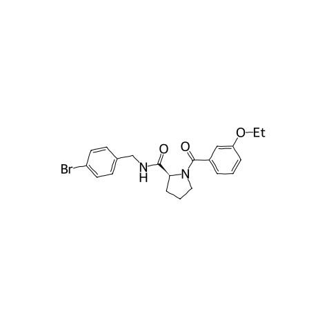 CCOc1cccc(C(=O)N2CCC[C@H]2C(=O)NCc2ccc(Br)cc2)c1